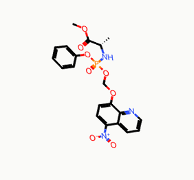 COC(=O)[C@H](C)NP(=O)(OCOc1ccc([N+](=O)[O-])c2cccnc12)Oc1ccccc1